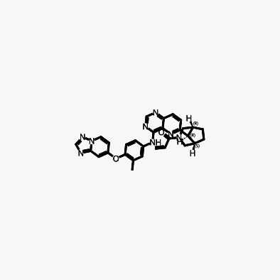 C=CC(=O)N1C[C@H]2CC[C@@H](C1)[C@@H]2c1ccc2ncnc(Nc3ccc(Oc4ccn5ncnc5c4)c(C)c3)c2n1